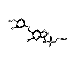 COCCS(=O)(=O)Nc1noc2cc(COc3ccc(OCC(C)C)c(Cl)c3)c(Cl)cc12